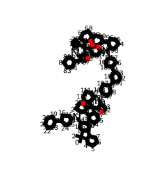 CC1(C)c2ccccc2-c2ccc(N(c3ccc(-c4ccccc4)cc3)c3cccc4c3-c3ccccc3C43c4ccccc4N(c4ccc(-c5cccc(-c6ccc(N(c7ccc8c(c7)-c7ccccc7C87c8ccccc8-n8c9ccccc9c9cccc7c98)c7ccccc7-c7ccccc7)cc6)c5)cc4)c4ccccc43)cc21